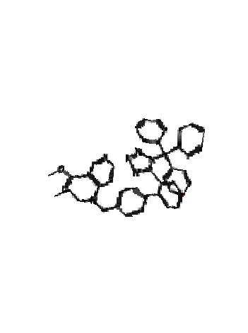 CCCN(Cc1ccc(-c2ccccc2-c2nnnn2C(c2ccccc2)(c2ccccc2)c2ccccc2)cc1)c1ccncc1C(=O)OC